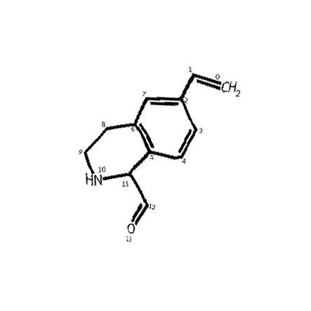 C=Cc1ccc2c(c1)CCNC2C=O